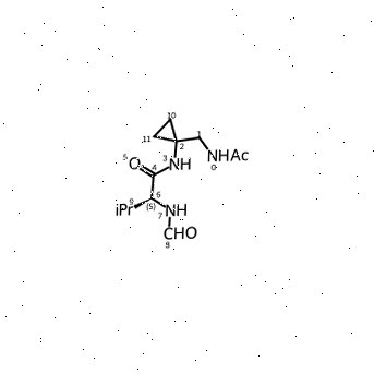 CC(=O)NCC1(NC(=O)[C@@H](NC=O)C(C)C)CC1